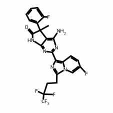 CC1(c2ccccc2F)C(=O)Nc2nc(-c3nc(CCC(F)(F)C(F)(F)F)n4cc(F)ccc34)nc(N)c21